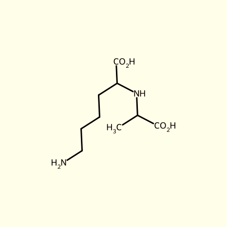 CC(NC(CCCCN)C(=O)O)C(=O)O